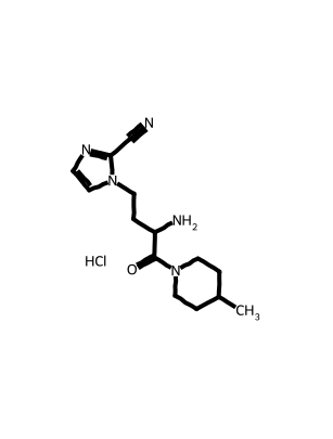 CC1CCN(C(=O)C(N)CCn2ccnc2C#N)CC1.Cl